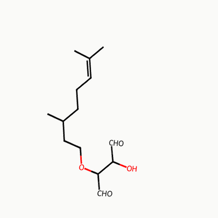 CC(C)=CCCC(C)CCOC(C=O)C(O)C=O